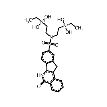 CC[N+](O)(O)CCN(CC[N+](O)(O)CC)S(=O)(=O)c1ccc2c(c1)Cc1c-2[nH]c(=O)c2ccccc12